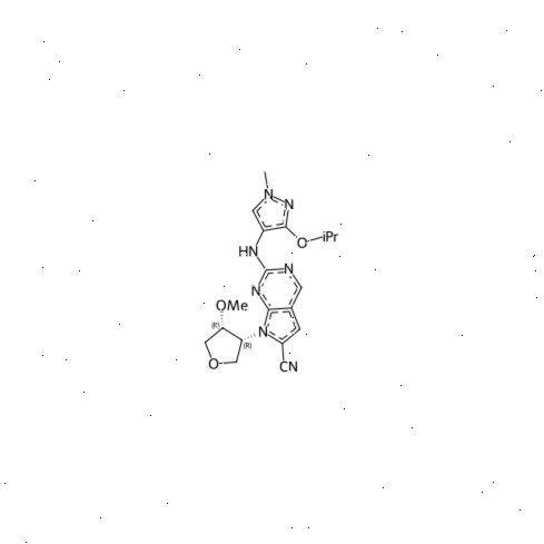 CO[C@H]1COC[C@H]1n1c(C#N)cc2cnc(Nc3cn(C)nc3OC(C)C)nc21